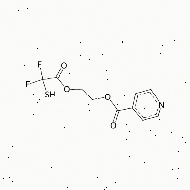 O=C(OCCOC(=O)C(F)(F)S)c1ccncc1